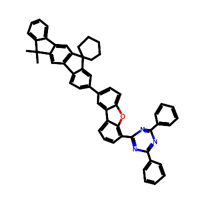 CC1(C)c2ccccc2-c2cc3c(cc21)-c1ccc(-c2ccc4oc5c(-c6nc(-c7ccccc7)nc(-c7ccccc7)n6)cccc5c4c2)cc1C31CCCCC1